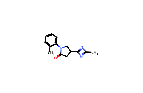 CC1=NC(C2CC(=O)N(c3ccccc3C)C2)=N1